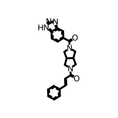 O=C(/C=C/c1ccccc1)N1CC2CN(C(=O)c3ccc4[nH]nnc4c3)CC2C1